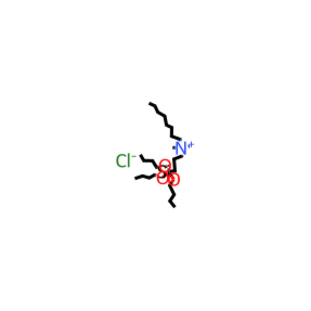 CCCCCCCC[N+](C)(C)CCC[Si](OCCCC)(OCCCC)OCCCC.[Cl-]